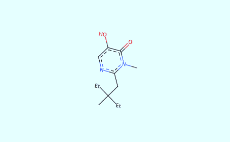 CCC(C)(CC)Cc1ncc(O)c(=O)n1C